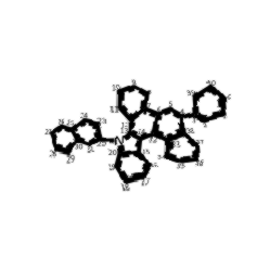 c1ccc(-c2cc3c4ccccc4c4c(c5ccccc5n4-c4ccc5ccccc5c4)c3c3ccccc23)cc1